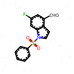 O=Cc1cc(F)cc2c1ccn2S(=O)(=O)c1ccccc1